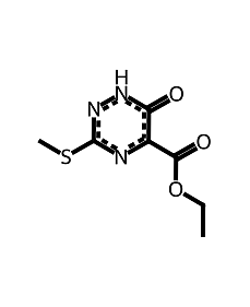 CCOC(=O)c1nc(SC)n[nH]c1=O